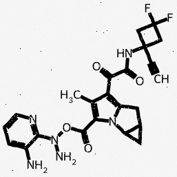 C#CC1(NC(=O)C(=O)c2c(C)c(C(=O)ON(N)c3ncccc3N)n3c2CC2CC23)CC(F)(F)C1